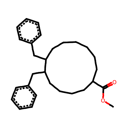 COC(=O)C1CCCCCCC(Cc2ccccc2)C(Cc2ccccc2)CCCC1